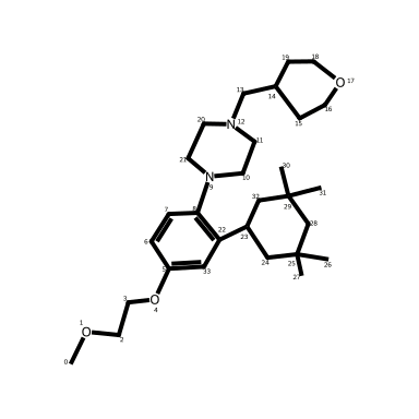 COCCOc1ccc(N2CCN(CC3CCOCC3)CC2)c(C2CC(C)(C)CC(C)(C)C2)c1